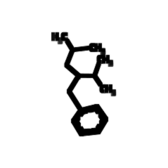 CC(C)C[C](Cc1ccccc1)C(C)C